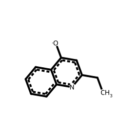 CCc1cc([O])c2ccccc2n1